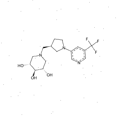 O[C@H]1[C@H](O)CN(C[C@H]2CCN(c3cncc(C(F)(F)F)c3)C2)C[C@@H]1O